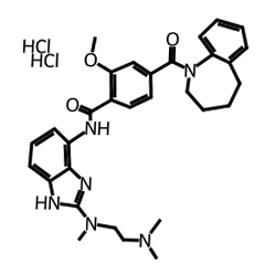 COc1cc(C(=O)N2CCCCc3ccccc32)ccc1C(=O)Nc1cccc2[nH]c(N(C)CCN(C)C)nc12.Cl.Cl